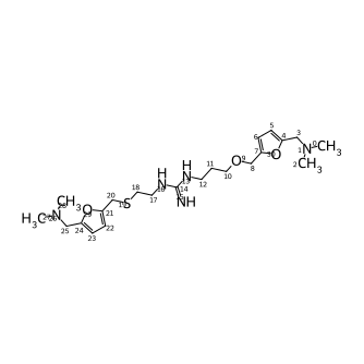 CN(C)Cc1ccc(COCCCNC(=N)NCCSCc2ccc(CN(C)C)o2)o1